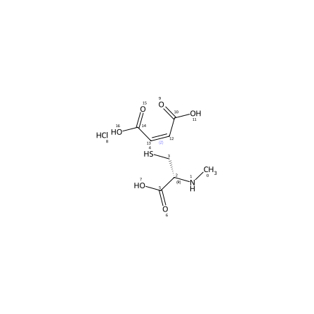 CN[C@@H](CS)C(=O)O.Cl.O=C(O)/C=C\C(=O)O